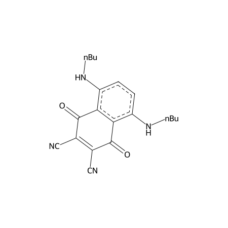 CCCCNc1ccc(NCCCC)c2c1C(=O)C(C#N)=C(C#N)C2=O